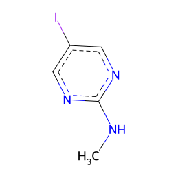 CNc1ncc(I)cn1